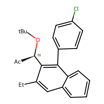 CCc1cc2ccccc2c(-c2ccc(Cl)cc2)c1[C@H](OC(C)(C)C)C(C)=O